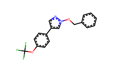 FC(F)(F)Oc1ccc(-c2cnn(OCc3ccccc3)c2)cc1